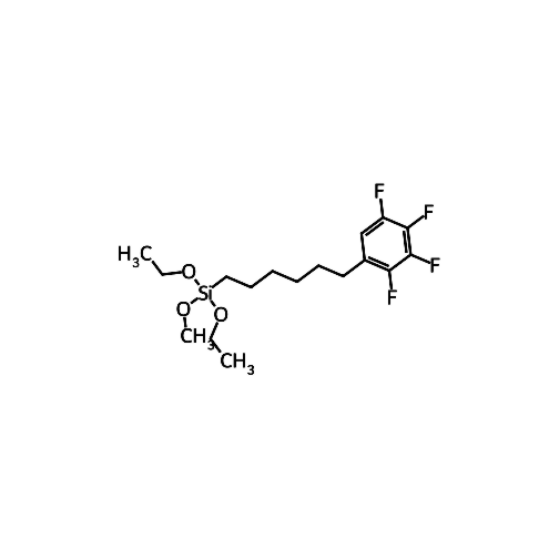 CCO[Si](CCCCCCc1cc(F)c(F)c(F)c1F)(OC)OCC